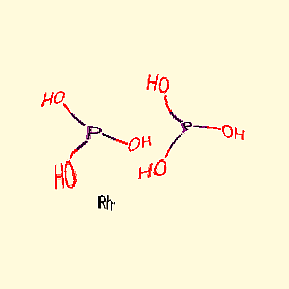 OP(O)O.OP(O)O.[Rh]